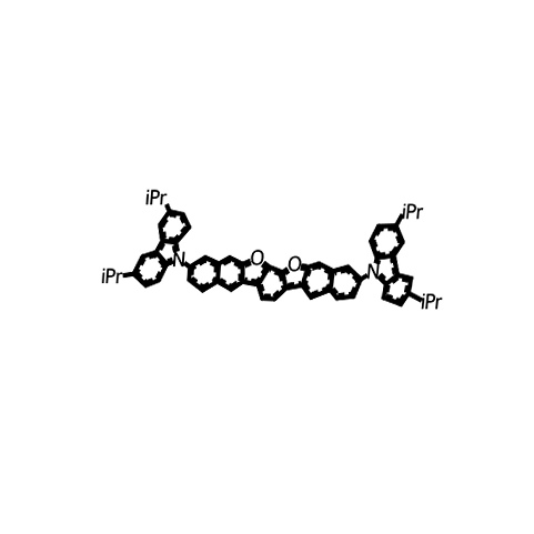 CC(C)c1ccc2c(c1)c1cc(C(C)C)ccc1n2-c1ccc2cc3c(cc2c1)oc1c3ccc2c3cc4ccc(-n5c6ccc(C(C)C)cc6c6cc(C(C)C)ccc65)cc4cc3oc21